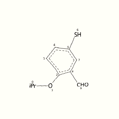 CC(C)Oc1ccc(S)cc1C=O